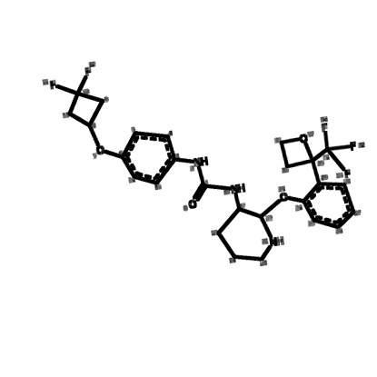 O=C(Nc1ccc(OC2CC(F)(F)C2)cc1)NC1CCCNC1Oc1ccccc1C1(C(F)(F)F)CCO1